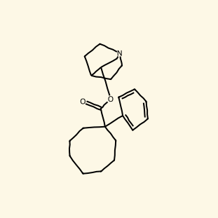 O=C(OC1CN2CCC1CC2)C1(c2ccccc2)CCCCCCC1